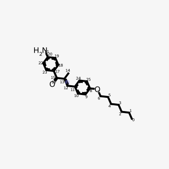 CCCCCCCOc1ccc(/C=C(\C)C(=O)c2ccc(N)cc2)cc1